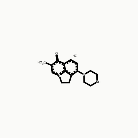 Cl.O=C(O)c1cn2c3c(c(N4CCNCC4)ccc3c1=O)CC2